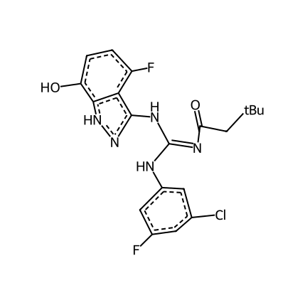 CC(C)(C)CC(=O)/N=C(/Nc1cc(F)cc(Cl)c1)Nc1n[nH]c2c(O)ccc(F)c12